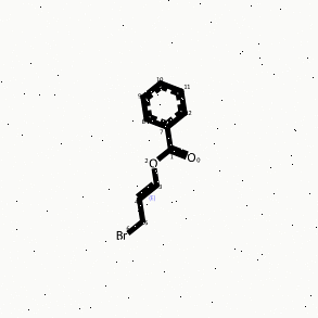 O=C(O/C=C/CBr)c1ccccc1